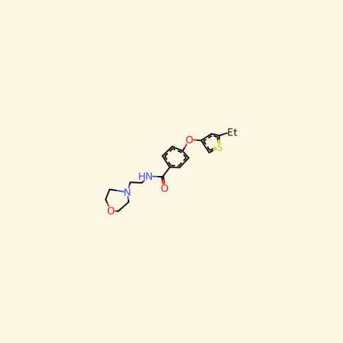 CCc1cc(Oc2ccc(C(=O)NCCN3CCOCC3)cc2)cs1